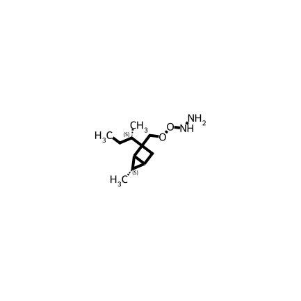 CC[C@H](C)C1(COONN)CC2C1[C@H]2C